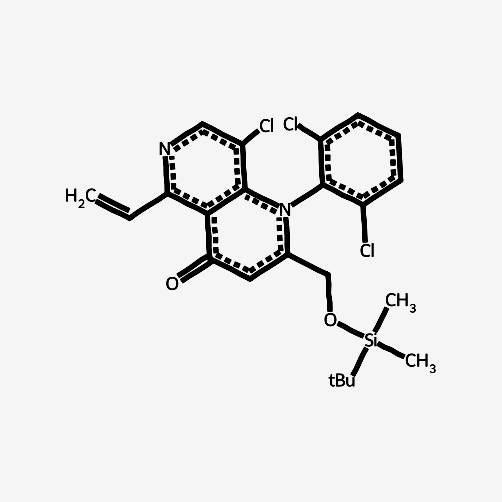 C=Cc1ncc(Cl)c2c1c(=O)cc(CO[Si](C)(C)C(C)(C)C)n2-c1c(Cl)cccc1Cl